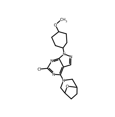 COC1CCC(n2ncc3c(N4CC5CCC(C4)O5)nc(Cl)nc32)CC1